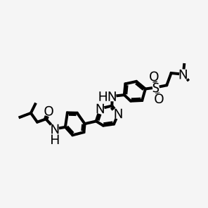 CC(C)CC(=O)Nc1ccc(-c2ccnc(Nc3ccc(S(=O)(=O)CCN(C)C)cc3)n2)cc1